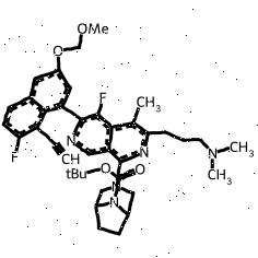 C#Cc1c(F)ccc2cc(OCOC)cc(-c3ncc4c(N5CC6CCC(C5)N6C(=O)OC(C)(C)C)nc(CCCN(C)C)c(C)c4c3F)c12